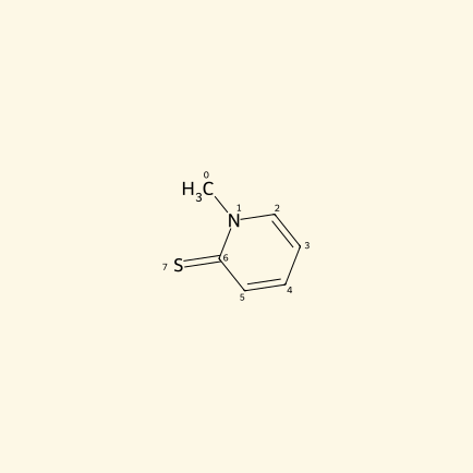 Cn1ccccc1=S